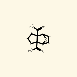 O=C(O)C12CCCC1(C(=O)O)C1CCC2O1